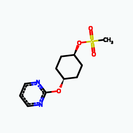 CS(=O)(=O)O[C@H]1CC[C@H](Oc2ncccn2)CC1